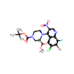 COC(=O)[C@H]1CN(C(=O)OC(C)(C)C)CCN1c1c([N+](=O)[O-])cnc2c(F)c(Br)c(Cl)cc12